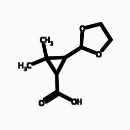 CC1(C)C(C(=O)O)C1C1OCCO1